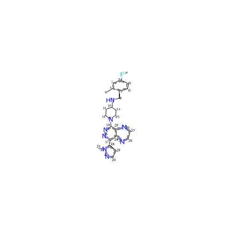 Cc1cc(F)ccc1CNC1CCN(c2nnc(-c3ccnn3C)c3nccnc23)CC1